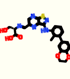 Cc1c(Nc2nsc3ncc(C=N[C@@H](CO)C(=O)O)nc23)cccc1-c1ccc2c(c1)OCCO2